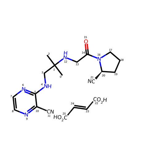 CC(C)(CNc1nccnc1C#N)NCC(=O)N1CCC[C@H]1C#N.O=C(O)/C=C/C(=O)O